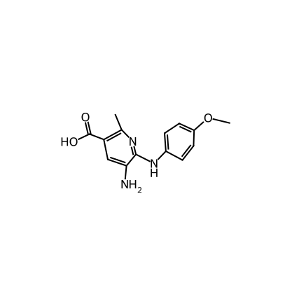 COc1ccc(Nc2nc(C)c(C(=O)O)cc2N)cc1